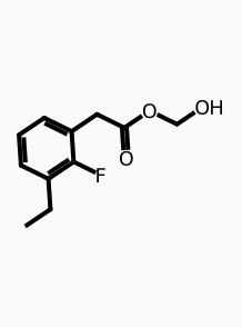 CCc1cccc(CC(=O)OCO)c1F